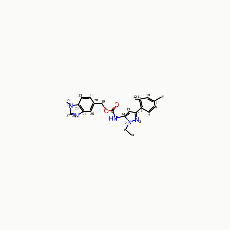 CCn1nc(-c2ccc(C)cc2C)cc1NC(=O)OCc1ccc2c(c1)ncn2C